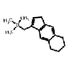 C[Si](C)(C)CC1=CCc2cc3c(cc21)CCCC3